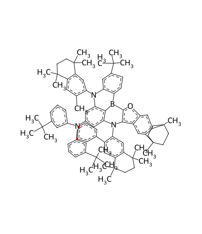 Cc1cc2c(cc1N1c3cc(C(C)(C)C)ccc3B3c4oc5cc6c(cc5c4N(c4cc5c(cc4-c4ccccc4)C(C)(C)CCC5(C)C)c4cc(N(c5cccc(C(C)(C)C)c5)c5cccc(C(C)(C)C)c5)cc1c43)C1(C)CCC6(C)CC1)C(C)(C)CCC2(C)C